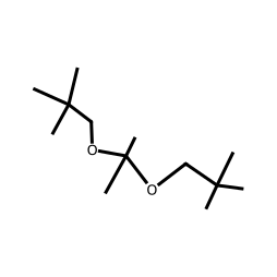 CC(C)(C)COC(C)(C)OCC(C)(C)C